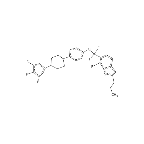 CCCc1cc2ccc(C(F)(F)Oc3ccc(C4CCC(c5cc(F)c(F)c(F)c5)CC4)cc3)c(F)c2s1